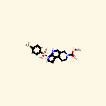 CCCCOC(=O)N1CCc2c(cnc3c2ccn3S(=O)(=O)c2ccc(C)cc2)C1